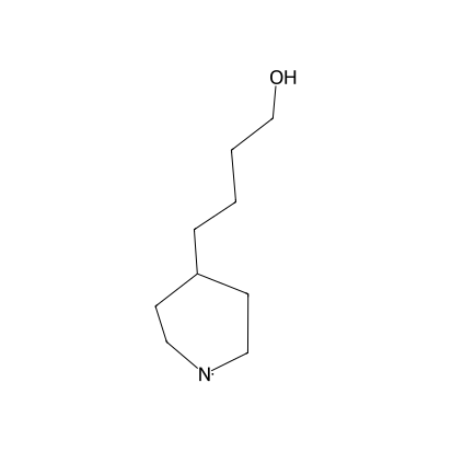 OCCCCC1CC[N]CC1